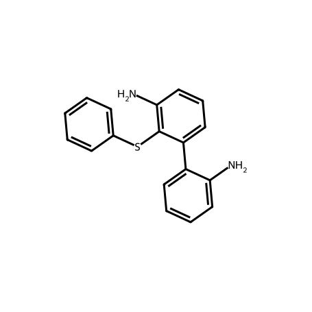 Nc1ccccc1-c1cccc(N)c1Sc1ccccc1